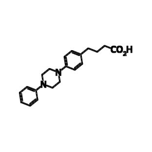 O=C(O)CCCc1ccc(N2CCN(c3ccccc3)CC2)cc1